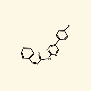 O=C(/C=C\c1ccccc1)Nc1ncc(-c2ccc(F)cc2)cn1